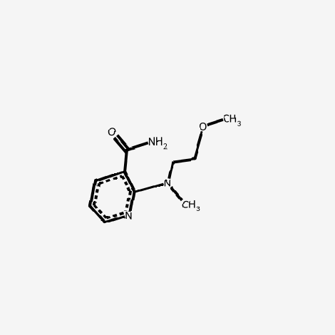 COCCN(C)c1ncccc1C(N)=O